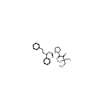 CCC(C)(C)C(=O)C(=O)N1CCC[C@H]1C(=O)O[C@H](CCc1ccccc1)c1ccccc1